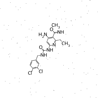 CCc1nc(NC(=O)NCc2ccc(Cl)c(Cl)c2)cc(N)c1C(=N)OC